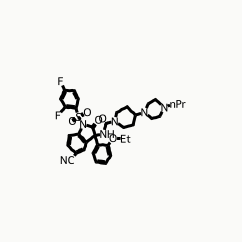 CCCN1CCN(C2CCN(C(=O)NC3(c4ccccc4OCC)C(=O)N(S(=O)(=O)c4ccc(F)cc4F)c4ccc(C#N)cc43)CC2)CC1